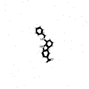 CC(=O)c1ccc2[nH]c3c(c2c1)CCCC3NCc1ccccc1